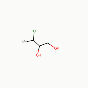 CCCC(Cl)C(O)CO